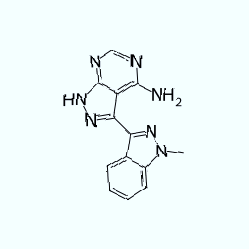 Cn1nc(-c2n[nH]c3ncnc(N)c23)c2ccccc21